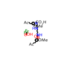 COc1cc(CCC(C)=O)ccc1OC(=O)NCCCCNCCCN(C(=O)O)c1ccc(CCC(C)=O)cc1OC.O=C(O)C(F)(F)F